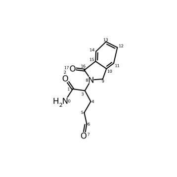 NC(=O)C(CCC=O)N1Cc2ccccc2C1=O